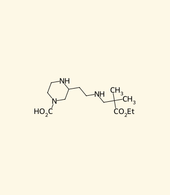 CCOC(=O)C(C)(C)CNCCC1CN(C(=O)O)CCN1